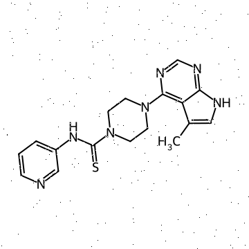 Cc1c[nH]c2ncnc(N3CCN(C(=S)Nc4cccnc4)CC3)c12